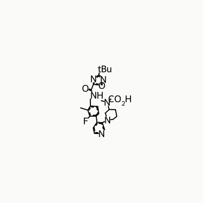 Cc1c(CNC(=O)c2nc(C(C)(C)C)no2)ccc(-c2ccncc2N2CCCC(N(C)C(=O)O)C2)c1F